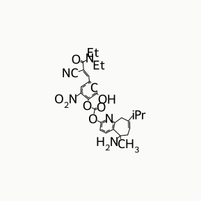 CCN(CC)C(=O)/C(C#N)=C/c1cc(O)c(OC(=O)Oc2ccc3c(n2)CC(C(C)C)=CCC3(C)N)c([N+](=O)[O-])c1